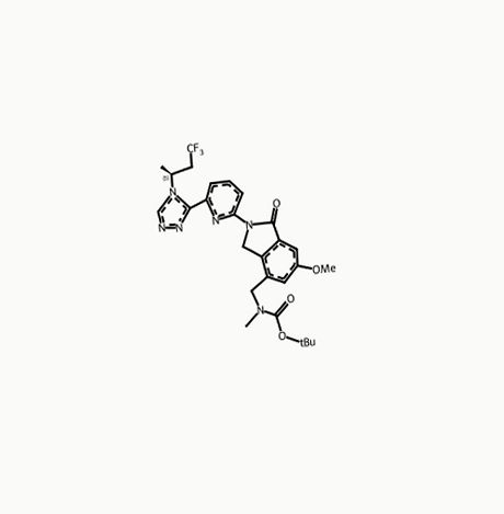 COc1cc(CN(C)C(=O)OC(C)(C)C)c2c(c1)C(=O)N(c1cccc(-c3nncn3[C@@H](C)CC(F)(F)F)n1)C2